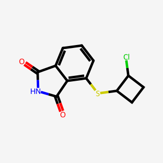 O=C1NC(=O)c2c(SC3CCC3Cl)cccc21